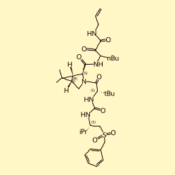 C=CCNC(=O)C(=O)C(CCCC)NC(=O)[C@@H]1[C@@H]2[C@H](CN1C(=O)[C@@H](NC(=O)N[C@H](CS(=O)(=O)Cc1ccccc1)C(C)C)C(C)(C)C)C2(C)C